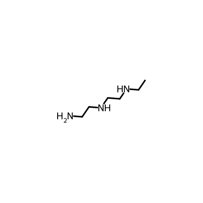 CCNCCNCCN